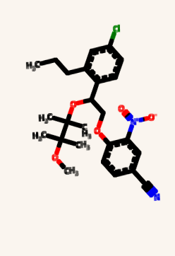 CCCc1cc(Cl)ccc1C(COc1ccc(C#N)cc1[N+](=O)[O-])OC(C)(C)C(C)(C)OC